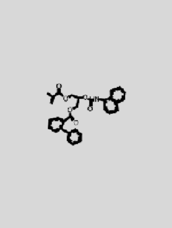 C=C(C)C(=O)OCC(COC(=O)c1ccccc1-c1ccccc1)OC(=O)Nc1cccc2ccccc12